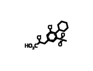 CS(=O)(=O)c1cc(CC(Cl)C(=O)O)cc(Cl)c1C1CCCCC1